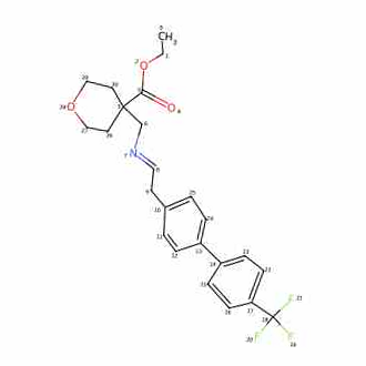 CCOC(=O)C1(C/N=C/Cc2ccc(-c3ccc(C(F)(F)F)cc3)cc2)CCOCC1